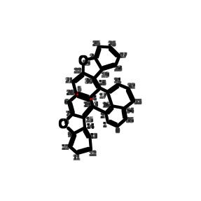 c1cc(-c2cccc3oc4ccccc4c23)c2c(-c3cccc4oc5ccccc5c34)cccc2c1